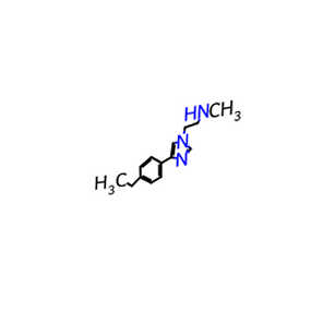 CCc1ccc(-c2cn(CCNC)cn2)cc1